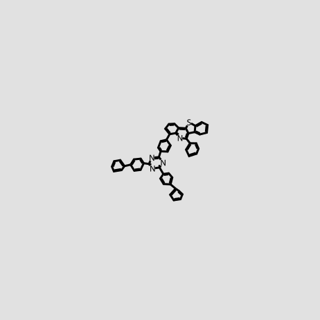 c1ccc(-c2ccc(-c3nc(-c4ccc(-c5ccccc5)cc4)nc(-c4ccc(-c5cccc6c5nc(-c5ccccc5)c5c7ccccc7sc65)cc4)n3)cc2)cc1